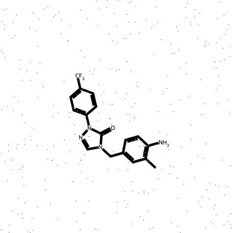 Cc1cc(Cn2cnn(-c3ccc(C(F)(F)F)cc3)c2=O)ccc1N